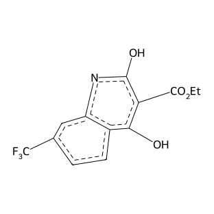 CCOC(=O)c1c(O)nc2cc(C(F)(F)F)ccc2c1O